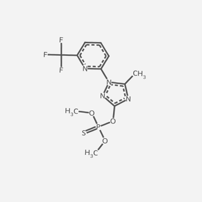 COP(=S)(OC)Oc1nc(C)n(-c2cccc(C(F)(F)F)n2)n1